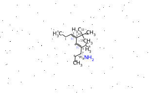 CC/C=C(\C=C(/C)[C@H](N)CC)C(C)(C)C